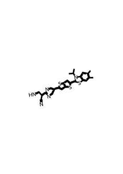 Cc1cc2c(cc1C)N(C(C)C)/C(=c1\cc3sc(=c4cnc(=C(C#N)C=N)nc4)cc3s1)S2